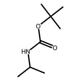 CC(C)NC(=O)OC(C)(C)C